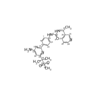 CC(NC(=O)Nc1ccc(-c2nc(N)cc(C(C)(C)S(C)(=O)=O)n2)cc1)c1cccnc1